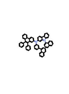 c1ccc(-c2c(-c3ccccc3)c3cc(N(c4cccc(-c5cccc6ccccc56)c4)c4ccc5c6ccccc6n(-c6cccc7ccccc67)c5c4)ccc3c3ccccc23)cc1